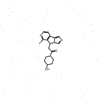 O=C(CC1c2c(ccnc2F)-c2cncn21)C1CCC(O)CC1